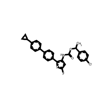 CC(OC(=O)Nc1cc(F)sc1-c1ccc(-c2ccc(C3CC3)cc2)cc1)c1ccc(Cl)cc1